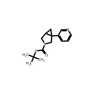 CC(C)(C)OC(=O)N1CC2CC2(c2cccnc2)C1